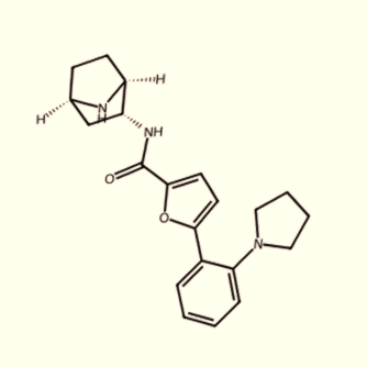 O=C(N[C@@H]1C[C@H]2CC[C@@H]1N2)c1ccc(-c2ccccc2N2CCCC2)o1